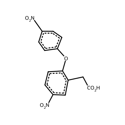 O=C(O)Cc1cc([N+](=O)[O-])ccc1Oc1ccc([N+](=O)[O-])cc1